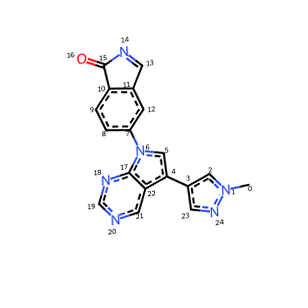 Cn1cc(-c2cn(-c3ccc4c(c3)C=NC4=O)c3ncncc23)cn1